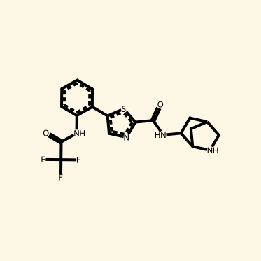 O=C(NC1CC2CNC1C2)c1ncc(-c2ccccc2NC(=O)C(F)(F)F)s1